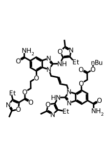 CCCCOC(=O)COc1cc(C(N)=O)cc2nc(Nc3oc(C)nc3CC)n(C/C=C/Cn3c(Nc4oc(C)nc4CC)nc4cc(C(N)=O)cc(OCCOC(=O)c5oc(C)nc5CC)c43)c12